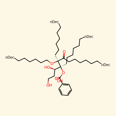 CCCCCCCCCCCCCCCCO[C@@](CCCCCCCCCCCCCCCC)(C(=O)CCCCCCCCCCCCCCCC)[C@@](CCCCCCCCCCCCCCCC)(OC(=O)c1ccccc1)[C@H](O)[C@H](O)CO